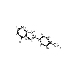 Cc1ccnc2sc(-c3ccc(C(F)(F)F)cc3)nc12